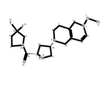 CCON1C=CC2=C(CCN([C@@H]3CN[C@H](C(=O)N4CCC(F)(F)C4)C3)C2)C1